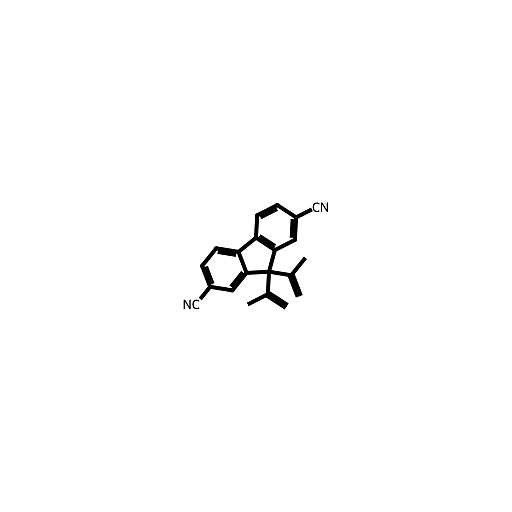 C=C(C)C1(C(=C)C)c2cc(C#N)ccc2-c2ccc(C#N)cc21